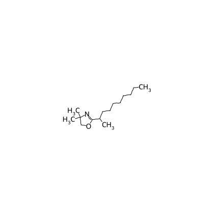 CCCCCCCCC(C)C1=NC(C)(C)CO1